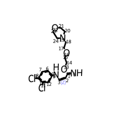 N=C(/C=C\Nc1ccc(Cl)c(Cl)c1)OCCOCCN1CCOCC1